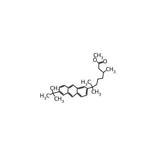 COC(=O)CC(C)CCCC(C)(C)c1ccc2cc3cc(C(C)(C)C)ccc3cc2c1